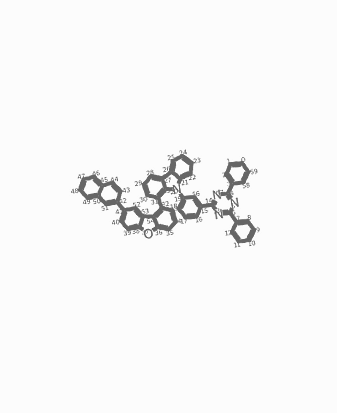 c1ccc(-c2nc(-c3ccccc3)nc(-c3cccc(-n4c5ccccc5c5cccc(-c6cccc7oc8ccc(-c9ccc%10ccccc%10c9)cc8c67)c54)c3)n2)cc1